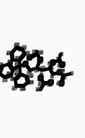 CC(=O)OC[C@H](OC(C)=O)[C@H](OC(C)=O)[C@@H](COC(c1ccccc1)(c1ccccc1)c1ccccc1)OC(C)=O